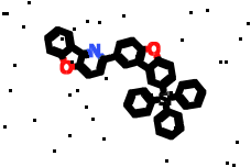 c1ccc([Si](c2ccccc2)(c2ccccc2)c2ccc3oc4ccc(-c5ccc6oc7ccccc7c6n5)cc4c3c2)cc1